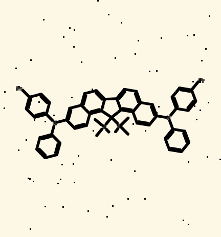 CC(C)c1ccc(N(c2ccccc2)c2ccc3c4c(ccc3c2)-c2ccc3cc(N(c5ccccc5)c5ccc(C(C)C)cc5)ccc3c2C4([Si](C)(C)C)[Si](C)(C)C)cc1